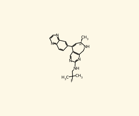 C[C@@H]1C=C(c2ccc3nccnc3c2)c2cnc(NCC(C)(C)F)nc2CN1